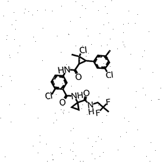 Cc1cc(Cl)cc(C2C(C(=O)Nc3ccc(Cl)c(C(=O)NC4(C(=O)NCC(C)(F)F)CC4)c3)C2(C)Cl)c1